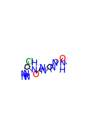 CCNC(=O)[C@H]1CCN(c2ccc(Cn3cc(C(=O)NCc4cc(Cl)ccc4-n4cnnn4)cn3)c(C)n2)C1